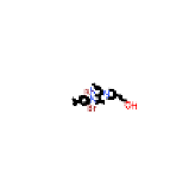 Cc1cc(N2CCC(CCCO)CC2)c2c(C)cn(-c3c(Br)cc(C(C)C)cc3Br)c2n1